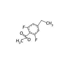 CCc1cc(F)c(S(C)(=O)=O)c(F)c1